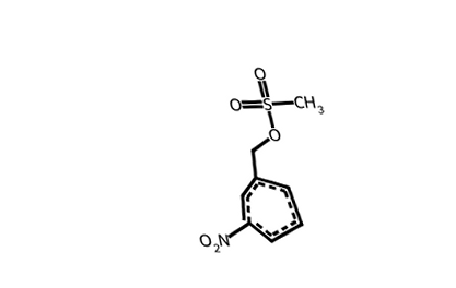 CS(=O)(=O)OCc1cccc([N+](=O)[O-])c1